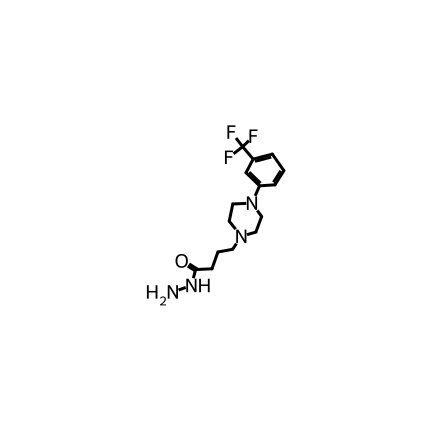 NNC(=O)CCCN1CCN(c2cccc(C(F)(F)F)c2)CC1